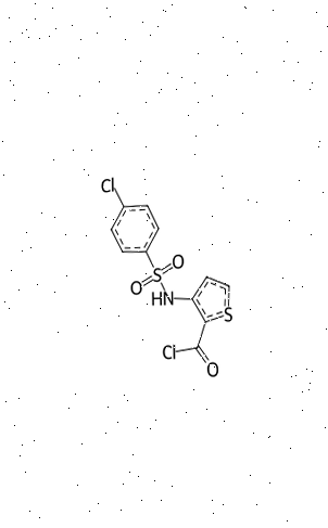 O=C(Cl)c1sccc1NS(=O)(=O)c1ccc(Cl)cc1